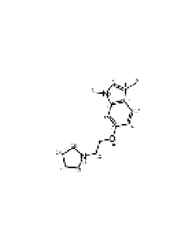 Cc1cn(C)c2cc(OCCN3CCCC3)ccc12